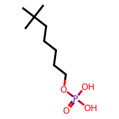 CC(C)(C)CCCCCOP(=O)(O)O